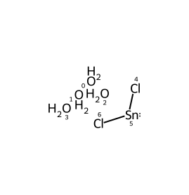 O.O.O.O.[Cl][Sn][Cl]